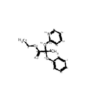 CCOC(=O)C(C)(Oc1ccccc1)Oc1ccccn1